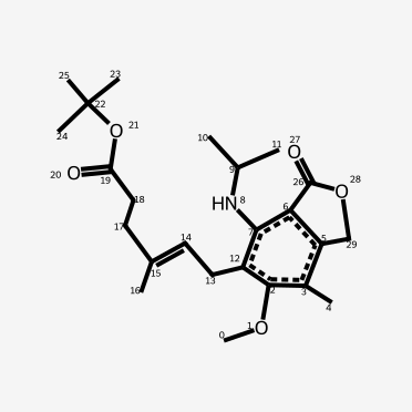 COc1c(C)c2c(c(NC(C)C)c1C/C=C(\C)CCC(=O)OC(C)(C)C)C(=O)OC2